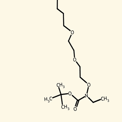 CCN(OCCOCCOCCCO)C(=O)OC(C)(C)C